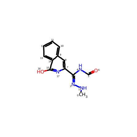 CN/N=C(\NC=O)c1cc2ccccc2c(O)n1